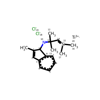 CC1=Cc2ccccc2C1[N-]C(C)(C)C=[Si](C)C.[Cl-].[Cl-].[Ti+3]